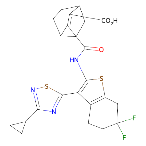 O=C(O)C1=C(C(=O)Nc2sc3c(c2-c2nc(C4CC4)ns2)CCC(F)(F)C3)C2CCC1CC2